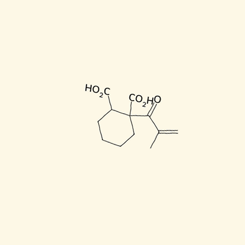 C=C(C)C(=O)C1(C(=O)O)CCCCC1C(=O)O